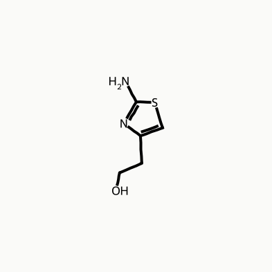 Nc1nc(CCO)cs1